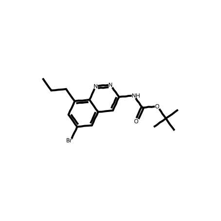 CCCc1cc(Br)cc2cc(NC(=O)OC(C)(C)C)nnc12